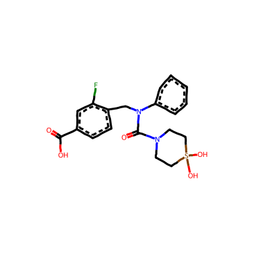 O=C(O)c1ccc(CN(C(=O)N2CCS(O)(O)CC2)c2ccccc2)c(F)c1